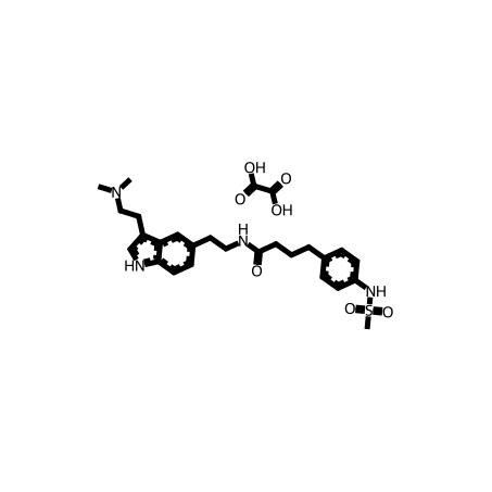 CN(C)CCc1c[nH]c2ccc(CCNC(=O)CCCc3ccc(NS(C)(=O)=O)cc3)cc12.O=C(O)C(=O)O